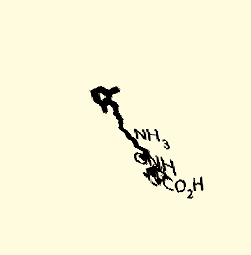 Cc1cccc(C)c1CCCCCCCCCC(=O)N[C@H](CC(=O)O)C[N+](C)(C)C.N